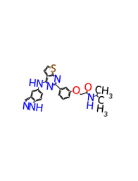 CC(C)NC(=O)COc1cccc(-c2nc(Nc3ccc4[nH]ncc4c3)c3ccsc3n2)c1